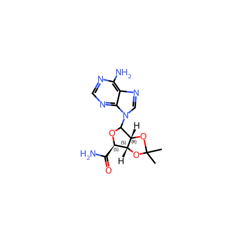 CC1(C)O[C@@H]2[C@@H](C(N)=O)OC(n3cnc4c(N)ncnc43)[C@@H]2O1